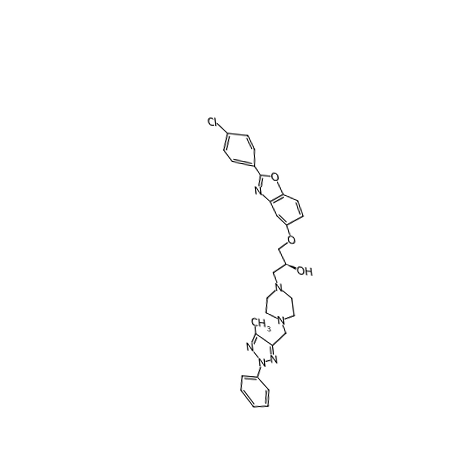 Cc1nn(-c2ccccc2)nc1CN1CCN(C[C@H](O)COc2ccc3oc(-c4ccc(Cl)cc4)nc3c2)CC1